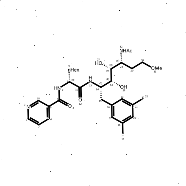 CCCCCC[C@@H](NC(=O)c1cccnc1)C(=O)N[C@@H](Cc1cc(F)cc(F)c1)[C@@H](O)[C@H](O)[C@@H](CCOC)NC(C)=O